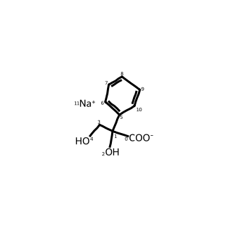 O=C([O-])C(O)(CO)c1ccccc1.[Na+]